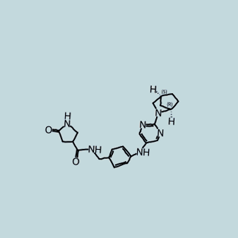 O=C1CC(C(=O)NCc2ccc(Nc3cnc(N4C[C@H]5CC[C@@H]4C5)nc3)cc2)CN1